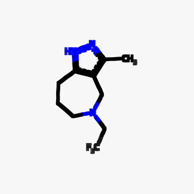 Cc1n[nH]c2c1CN(CC(F)(F)F)CCC2